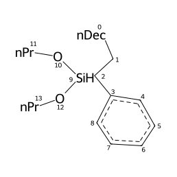 CCCCCCCCCCCC(c1ccccc1)[SiH](OCCC)OCCC